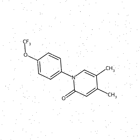 Cc1cc(=O)n(-c2ccc(OC(F)(F)F)cc2)cc1C